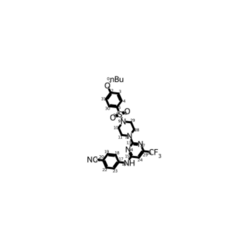 CCCCOc1ccc(S(=O)(=O)N2CCN(c3nc(Nc4ccc(C#N)cc4)cc(C(F)(F)F)n3)CC2)cc1